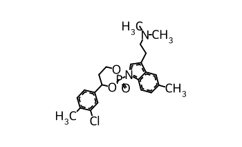 Cc1ccc2c(c1)c(CCN(C)C)cn2P1(=O)OCCC(c2ccc(C)c(Cl)c2)O1